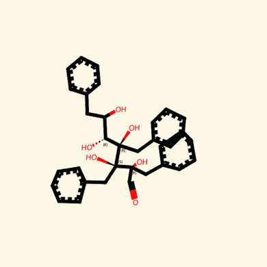 O=C[C@@](O)(Cc1ccccc1)[C@](O)(Cc1ccccc1)[C@@](O)(Cc1ccccc1)[C@H](O)C(O)Cc1ccccc1